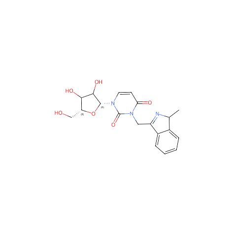 CC1N=C(Cn2c(=O)ccn([C@@H]3O[C@H](CO)C(O)C3O)c2=O)c2ccccc21